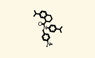 CC(C)c1ccc(N(Cc2ccc(N(C)C)cc2)C(=O)C2CCCc3ccc(C(C)C)cc32)cc1